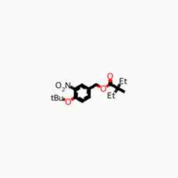 CCC(C)(CC)C(=O)OCc1ccc(OC(C)(C)C)c([N+](=O)[O-])c1